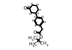 CC(C)(C)OC(=O)Cc1ccc(C2CCCC(=O)C2)cc1